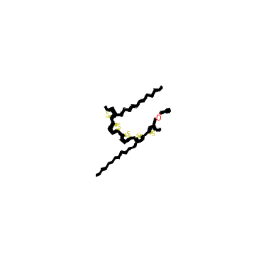 C#CCOCc1cc(-c2cc(CCCCCCCCCCCC)c(-c3ccc(-c4ccc(-c5sc(C)cc5CCCCCCCCCCCC)s4)s3)s2)sc1C